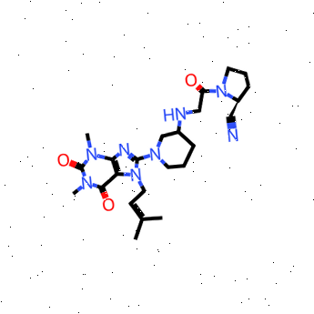 CC(C)=CCn1c(N2CCCC(NCC(=O)N3CCC[C@H]3C#N)C2)nc2c1c(=O)n(C)c(=O)n2C